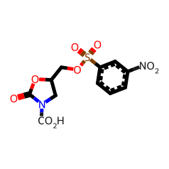 O=C(O)N1CC(COS(=O)(=O)c2cccc([N+](=O)[O-])c2)OC1=O